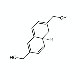 OCC1=CC2=CC=C(CO)C[C@H]2C=C1